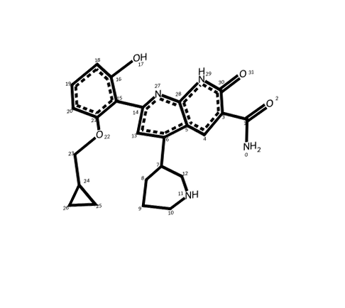 NC(=O)c1cc2c(C3CCCNC3)cc(-c3c(O)cccc3OCC3CC3)nc2[nH]c1=O